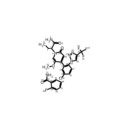 CC[C@@H](C(N)=O)n1cc(OC)c(-c2cc(Cl)ccc2-n2cc(C(F)(F)F)nn2)cc1=O.NC(=O)c1ccccc1F